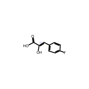 O=C(O)/C(O)=C/c1ccc(F)cc1